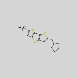 Cc1cc2sc3cc(CC4CCCC4)sc3c2s1